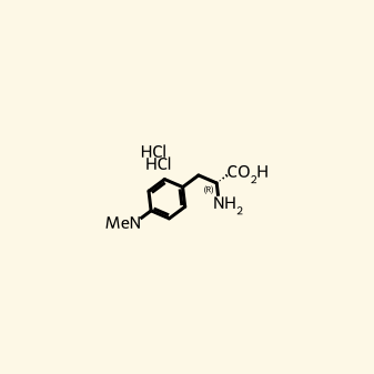 CNc1ccc(C[C@@H](N)C(=O)O)cc1.Cl.Cl